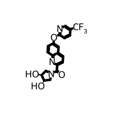 O=C(c1ccc2cc(Oc3ccc(C(F)(F)F)cn3)ccc2n1)N1C[C@H](O)[C@@H](O)C1